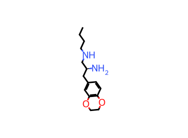 CCCCNC[C@@H](N)Cc1ccc2c(c1)OCCO2